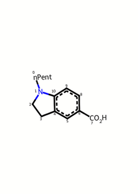 CCCCCN1CCc2cc(C(=O)O)ccc21